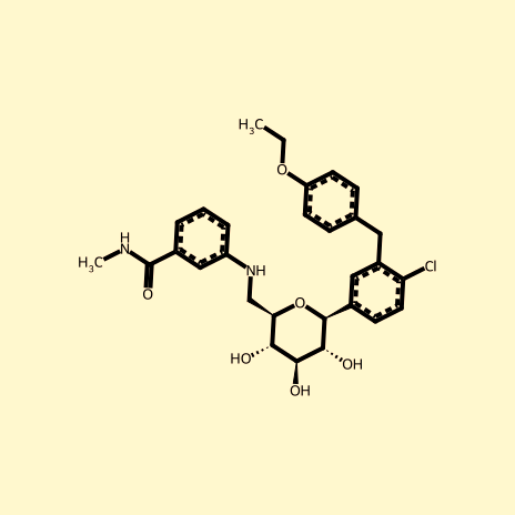 CCOc1ccc(Cc2cc([C@@H]3O[C@H](CNc4cccc(C(=O)NC)c4)[C@@H](O)[C@H](O)[C@H]3O)ccc2Cl)cc1